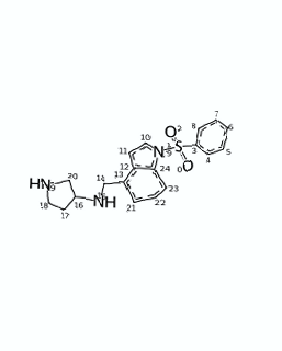 O=S(=O)(c1ccccc1)n1ccc2c(CNC3CCNC3)cccc21